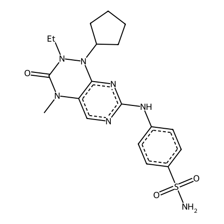 CCN1C(=O)N(C)c2cnc(Nc3ccc(S(N)(=O)=O)cc3)nc2N1C1CCCC1